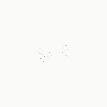 Cc1cccc(N(C2=CC(C)C(c3ccc(N(C4=CC(C)CC=C4)c4cccc(C)c4)cc3C)C=C2)c2cccc(C)c2)c1